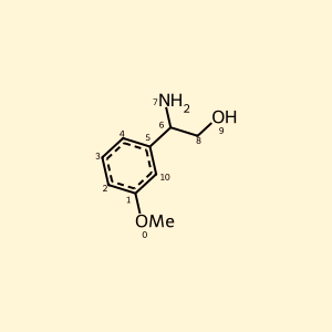 COc1cccc(C(N)CO)c1